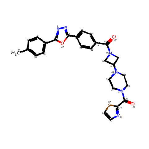 Cc1ccc(-c2nnc(-c3ccc(C(=O)N4CC(N5CCN(C(=O)c6nccs6)CC5)C4)cc3)o2)cc1